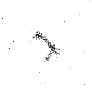 CC(=O)c1c(C)c2cnc(Nc3ccc(N4CCN(C(=O)Cc5cn(CC(=O)NC(C(=O)N6C[C@H](O)C[C@H]6C(=O)NCc6ccc(-c7scnc7C)cc6)C(C)(C)C)nn5)CC4)cn3)nc2n(C2CCCC2)c1=O